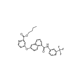 CCCCOC(=O)c1cc(Oc2ccc3c(C(=O)Nc4cccc(C(F)(F)F)c4)cccc3c2)ccn1